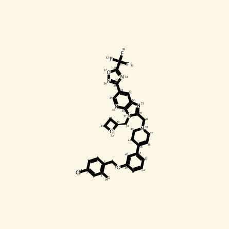 Fc1cc(Cl)ccc1COc1cccc(C2=CCN(Cc3nc4cc(-c5noc(C(F)(F)F)n5)cnc4n3C[C@@H]3CCO3)CC2)c1